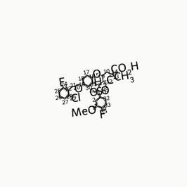 COc1cc(S(=O)(=O)C2CC(CC(C)(C)C(=O)O)Oc3ccc(OCc4c(F)cccc4Cl)cc32)ccc1F